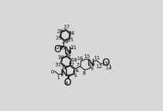 CCn1c(=O)cc(C2CCN(CCOC)CC2)c2cc(N(C)C(=O)c3ccccc3)ccc21